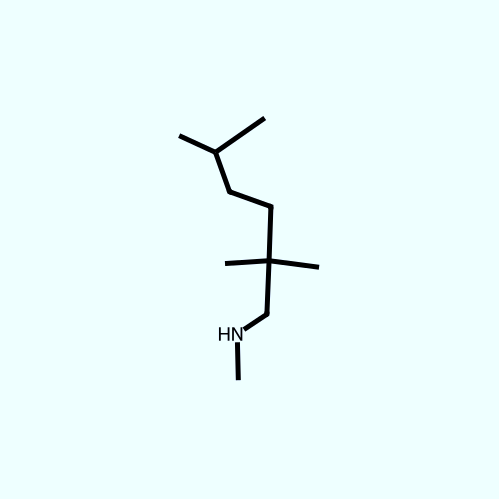 CNCC(C)(C)CCC(C)C